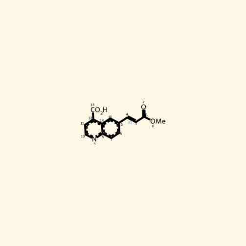 COC(=O)/C=C/c1ccc2nccc(C(=O)O)c2c1